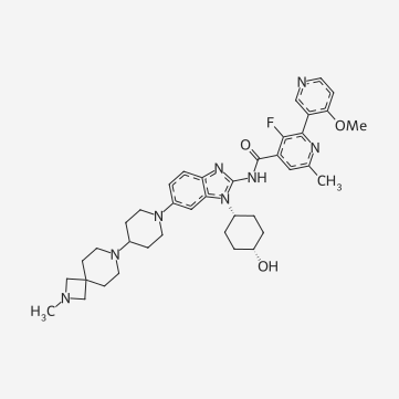 COc1ccncc1-c1nc(C)cc(C(=O)Nc2nc3ccc(N4CCC(N5CCC6(CC5)CN(C)C6)CC4)cc3n2[C@H]2CC[C@@H](O)CC2)c1F